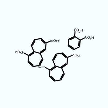 CCCCCCCCC1=CC=CC2=C(CCCCCCCC)C=CC=CC2=C1.CCCCCCCCC1=CC=CC2=C(CCCCCCCC)C=CC=CC2=C1.O=C(O)c1ccccc1C(=O)O